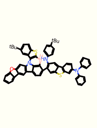 CC(C)(C)c1ccc(Nc2cc3c(cc2-c2ccc4c5cc6c(cc5n5c4c2Bc2sc4ccc(C(C)(C)C)cc4c2-5)oc2ccccc26)sc2cc(N(c4ccccc4)c4ccccc4)ccc23)cc1